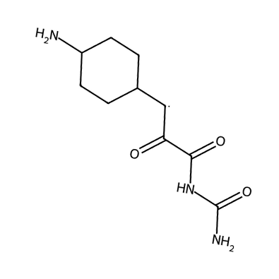 NC(=O)NC(=O)C(=O)[CH]C1CCC(N)CC1